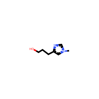 Cn1cnc(CCCO)c1